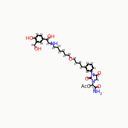 CC(=O)OC(C(N)=O)N1CC(=O)N(c2cccc(CCCCOCCCCCCNCC(O)c3ccc(O)c(CO)c3)c2)C1=O